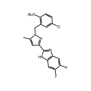 Cc1cc(-c2nc3cc(F)c(F)cc3[nH]2)nn1Cc1cc(Cl)ccc1OCC(C)C